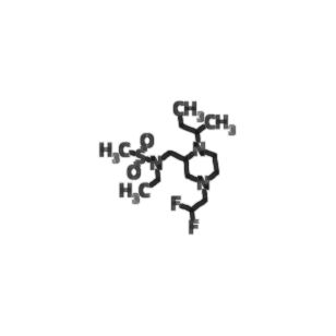 CCC(C)N1CCN(CC(F)F)CC1CN(CC)S(C)(=O)=O